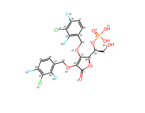 O=C1O[C@H]([C@H](CO)OP(=O)(O)O)C(OCc2ccc(F)c(Cl)c2F)=C1OCc1ccc(F)c(Cl)c1F